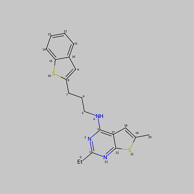 CCc1nc(NCCCc2cc3ccccc3s2)c2cc(C)sc2n1